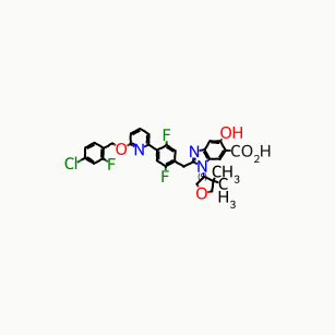 CC1(C)COC[C@H]1n1c(Cc2cc(F)c(-c3cccc(OCc4ccc(Cl)cc4F)n3)cc2F)nc2cc(O)c(C(=O)O)cc21